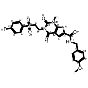 COc1ccc(CNC(=O)c2cc3c(=O)n(CCS(=O)(=O)c4ccc(F)cc4)c(=O)n(C)c3s2)cc1